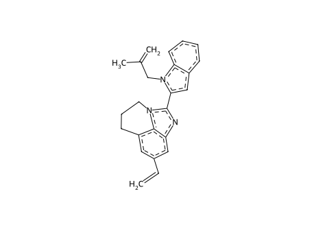 C=Cc1cc2c3c(c1)nc(-c1cc4ccccc4n1CC(=C)C)n3CCC2